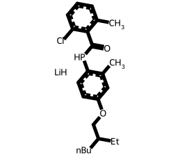 CCCCC(CC)COc1ccc(PC(=O)c2c(C)cccc2Cl)c(C)c1.[LiH]